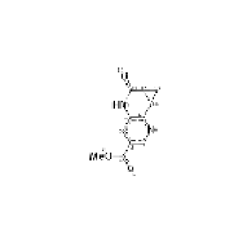 COC(=O)c1cnc2c(c1)NC(=O)C1CC21